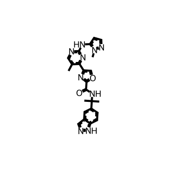 Cc1cnc(Nc2ccnn2C)nc1-c1coc(C(=O)NC(C)(C)c2ccc3[nH]ncc3c2)n1